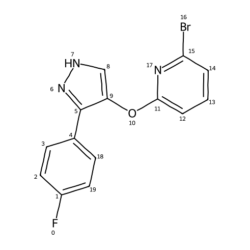 Fc1ccc(-c2n[nH]cc2Oc2cccc(Br)n2)cc1